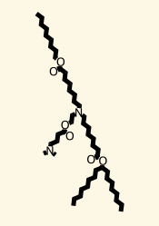 CCCCCCCCCOC(=O)CCCCCCCN(CCCCCCCC(=O)OC(CCCCCCCC)CCCCCCCC)CCOC(=O)CCCN(C)C